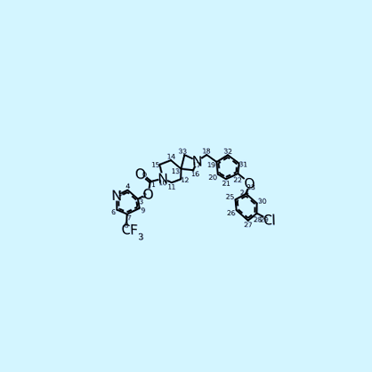 O=C(Oc1cncc(C(F)(F)F)c1)N1CCC2(CC1)CN(Cc1ccc(Oc3cccc(Cl)c3)cc1)C2